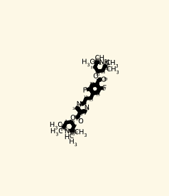 CC1(C)CC(OC(=O)c2cnc(CCc3cc(F)c(C(=O)OC4CC(C)(C)NC(C)(C)C4)cc3F)nc2)CC(C)(C)N1